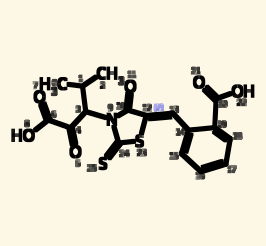 CC(C)C(C(=O)C(=O)O)N1C(=O)/C(=C/c2ccccc2C(=O)O)SC1=S